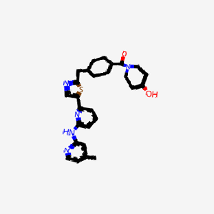 Cc1ccnc(Nc2cccc(-c3cnc(CC4CCC(C(=O)N5CCC(O)CC5)CC4)s3)n2)c1